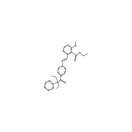 CCOC(=O)c1c(/C=C/c2ccc(C(=O)[N+](CC)(CC)c3ccccc3)cc2)cccc1OC